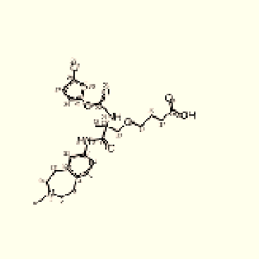 CN1CCc2ccc(NC(=O)[C@@](C)(COCCCC(=O)O)NC(=O)Oc3ccc(Cl)s3)cc2CC1